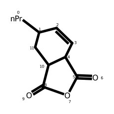 CCCC1C=CC2C(=O)OC(=O)C2C1